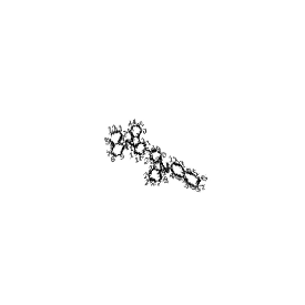 C1=c2c(n(-c3cccc4ccccc34)c3ccc(-c4ccc5c(c4)c4ccccc4n5-c4ccc5ccccc5c4)cc23)=CCC1